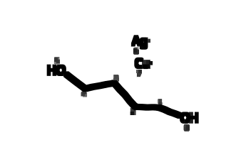 OCCCCO.[Ag].[Cu]